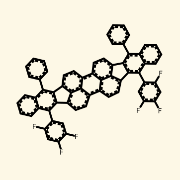 Fc1cc(F)c(-c2c3c(c(-c4ccccc4)c4ccccc24)-c2ccc4c5ccc6c7c(ccc(c8ccc-3c2c48)c75)-c2c-6c(-c3ccccc3)c3ccccc3c2-c2cc(F)c(F)cc2F)cc1F